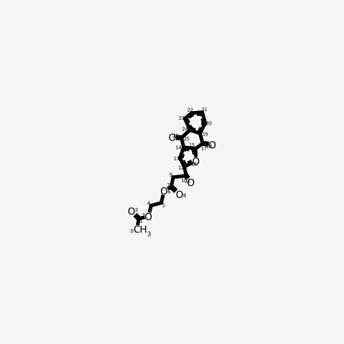 CC(=O)OCCOC(=O)CC(=O)c1cc2c(o1)C(=O)c1ccccc1C2=O